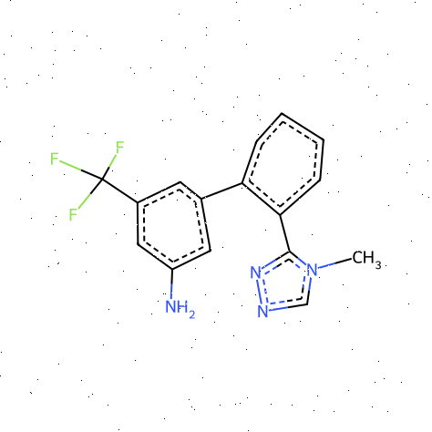 Cn1cnnc1-c1ccccc1-c1cc(N)cc(C(F)(F)F)c1